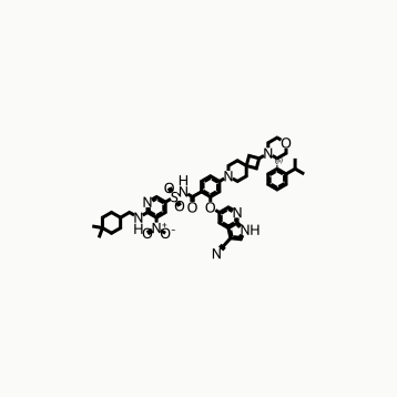 CC(C)c1ccccc1[C@H]1COCCN1C1CC2(CCN(c3ccc(C(=O)NS(=O)(=O)c4cnc(NCC5CCC(C)(C)CC5)c([N+](=O)[O-])c4)c(Oc4cnc5[nH]cc(C#N)c5c4)c3)CC2)C1